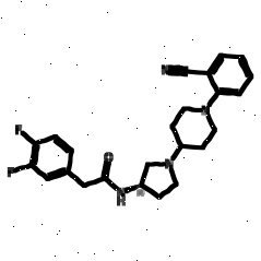 N#Cc1ccccc1N1CCC(N2CC[C@@H](NC(=O)Cc3ccc(F)c(F)c3)C2)CC1